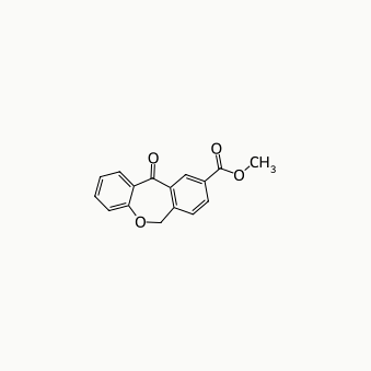 COC(=O)c1ccc2c(c1)C(=O)c1ccccc1OC2